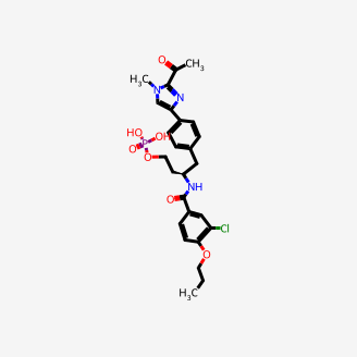 CCCOc1ccc(C(=O)N[C@@H](CCOP(=O)(O)O)Cc2ccc(-c3cn(C)c(C(C)=O)n3)cc2)cc1Cl